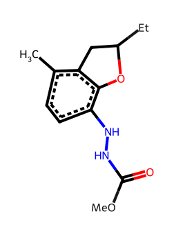 CCC1Cc2c(C)ccc(NNC(=O)OC)c2O1